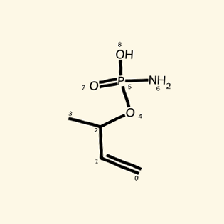 C=CC(C)OP(N)(=O)O